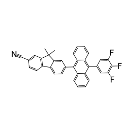 CC1(C)c2cc(C#N)ccc2-c2ccc(-c3c4ccccc4c(-c4cc(F)c(F)c(F)c4)c4ccccc34)cc21